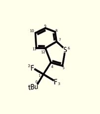 CC(C)(C)C(F)(F)c1csc2ccccc12